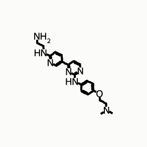 CN(C)CCOc1ccc(Nc2nccc(-c3ccc(NCCN)nc3)n2)cc1